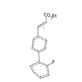 CCOC(=O)/C=C/c1ccc(-c2ccccc2F)cc1